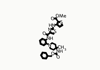 COC(=O)c1sccc1Nc1nc(C(=O)Nc2ccccc2N2CCC(C)(NC(=O)OCc3ccccc3)CC2)cs1